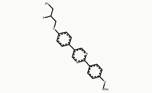 CCCCCCCCCCOc1ccc(-c2ncc(-c3ccc(OCC(F)CC(C)C)cc3)cn2)cc1